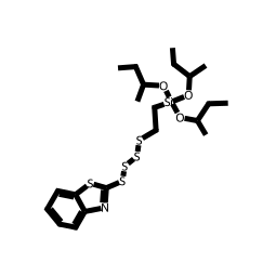 CCC(C)O[Si](CCSSSSc1nc2ccccc2s1)(OC(C)CC)OC(C)CC